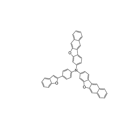 c1ccc2cc3c(cc2c1)oc1cc(N(c2ccc(-c4cc5ccccc5o4)cc2)c2ccc4c(c2)oc2cc5ccccc5cc24)ccc13